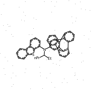 CCCC(CC)N(c1ccc2c(c1)-c1c3cccc1-c1cccc-2c1-c1ccccc1-3)c1cccc2c1sc1ccccc12